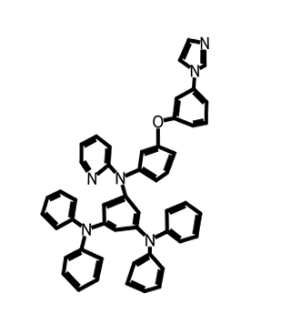 c1ccc(N(c2ccccc2)c2cc(N(c3ccccc3)c3ccccc3)cc(N(c3cccc(Oc4cccc(-n5ccnc5)c4)c3)c3ccccn3)c2)cc1